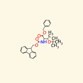 CC(OC(C)(C)C)C(NC(=O)OCC1c2ccccc2-c2ccccc21)C(=O)OCc1ccccc1